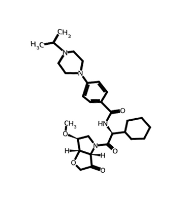 CO[C@H]1CN(C(=O)[C@@H](NC(=O)c2ccc(N3CCN(C(C)C)CC3)cc2)C2CCCCC2)[C@@H]2C(=O)CO[C@H]12